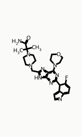 CC(C)(C(N)=O)N1CCN(Cc2nc3c(N4CCOCC4)nc(C4C(F)=CC=C5N=CC=C54)nc3[nH]2)CC1